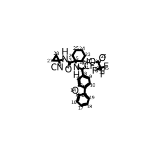 N#CC1(NC(=O)C2(NC(c3ccc4c(c3)oc3ccccc34)C(F)(F)F)CCCCC2)CC1.O=C(O)C(F)(F)F